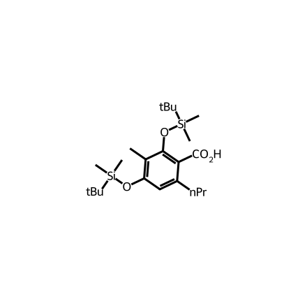 CCCc1cc(O[Si](C)(C)C(C)(C)C)c(C)c(O[Si](C)(C)C(C)(C)C)c1C(=O)O